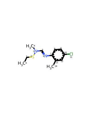 CCSN(C)C=Nc1ccc(Cl)cc1C